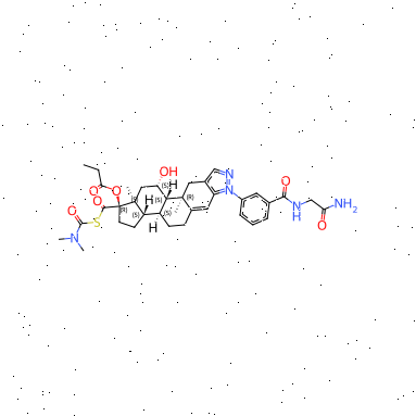 CCC(=O)O[C@]1(C(=O)SC(=O)N(C)C)CC[C@H]2[C@@H]3CCC4=Cc5c(cnn5-c5cccc(C(=O)NCC(N)=O)c5)C[C@]4(C)[C@H]3[C@@H](O)C[C@@]21C